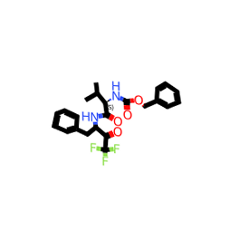 CC(C)[C@H](NC(=O)OCc1ccccc1)C(=O)NC(Cc1ccccc1)C(=O)C(F)(F)F